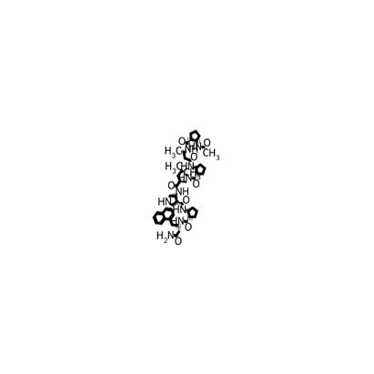 CC(=O)N[C@H]1CCC[C@@H]1C(=O)N[C@@H](C)CC(=O)N[C@H]1CCC[C@@H]1C(=O)NC[C@H](CC(C)C)C(=O)N[C@H]1CNC[C@@H]1C(=O)N[C@H]1CCC[C@@H]1C(=O)N[C@H](CC(N)=O)Cc1cccc2ccccc12